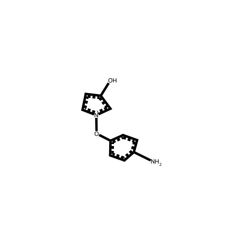 Nc1ccc(On2ccc(O)c2)cc1